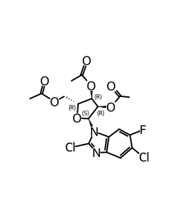 CC(=O)OC[C@H]1O[C@H](n2c(Cl)nc3cc(Cl)c(F)cc32)[C@H](OC(C)=O)[C@@H]1OC(C)=O